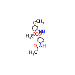 CCC(=O)Nc1ccc(S(=O)(=O)Nc2cc(OC)ccc2OC)cc1